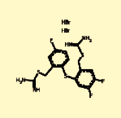 Br.Br.N=C(N)SCc1cc(F)ccc1Sc1cc(F)c(F)cc1CSC(=N)N